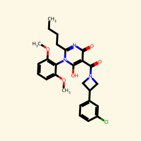 CCCCc1nc(=O)c(C(=O)N2CC(c3cccc(Cl)c3)C2)c(O)n1-c1c(OC)cccc1OC